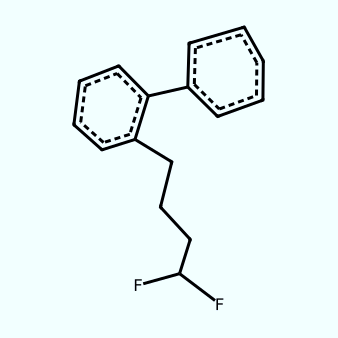 FC(F)CCCc1ccccc1-c1ccccc1